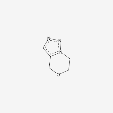 c1nnn2c1COCC2